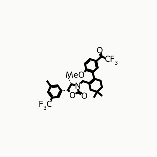 COc1ccc(C(=O)C(F)(F)F)cc1C1=C(CN2C(=O)O[C@H](c3cc(C)cc(C(F)(F)F)c3)[C@@H]2C)CC(C)(C)CC1